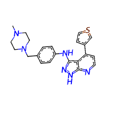 CN1CCN(Cc2ccc(Nc3n[nH]c4nccc(-c5ccsc5)c34)cc2)CC1